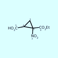 CCOC(=O)C1([N+](=O)[O-])CC1C(=O)O